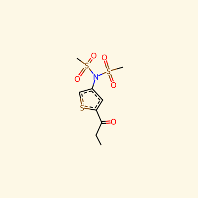 CCC(=O)c1cc(N(S(C)(=O)=O)S(C)(=O)=O)cs1